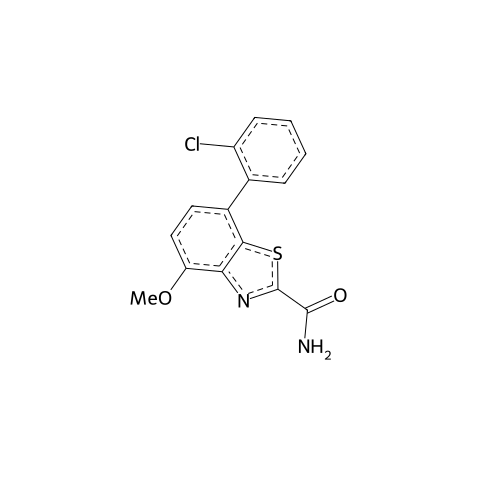 COc1ccc(-c2ccccc2Cl)c2sc(C(N)=O)nc12